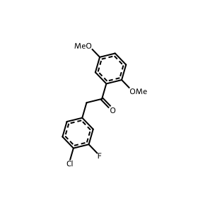 COc1ccc(OC)c(C(=O)Cc2ccc(Cl)c(F)c2)c1